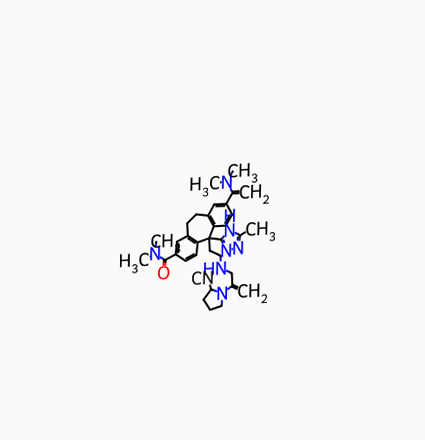 C=C(c1ccc2c(c1)CCc1cc(C(=O)N(C)C)ccc1C2(CCNCC(=C)N1CCCC1C#N)c1nnc(C)[nH]1)N(C)C